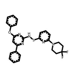 FC1(F)CCN(c2cccc(SNc3nc(Oc4ccccc4)cc(-c4ccccc4)n3)n2)CC1